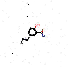 CC(=O)/C=C/c1ccc(O)c(C(N)=O)c1